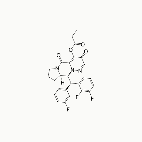 CCC(=O)Oc1c2n(ncc1=O)[C@@H]([C@H](c1cccc(F)c1)c1cccc(F)c1F)[C@H]1CCCN1C2=O